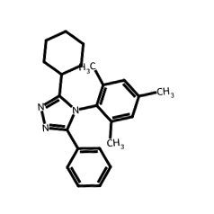 Cc1cc(C)c(-n2c(-c3ccccc3)nnc2C2CCCCC2)c(C)c1